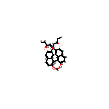 CCC(=O)/C=C\c1ccc2ccc3c(c2c1)-c1c(ccc2ccc(/C=C\C(=O)CC)cc12)OCO3